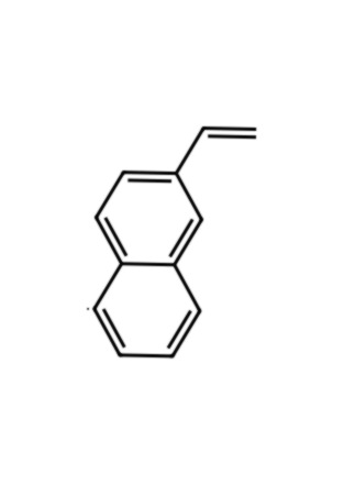 C=Cc1ccc2[c]cccc2c1